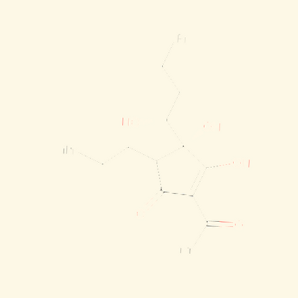 CC(C)CCC1C(=O)C(C(=O)C(C)C)=C(O)[C@]1(O)[C@H](O)CCC(C)C